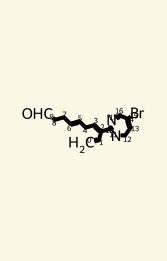 C=C/C(=C\C/C=C/CCC=O)C1=NCC=C(Br)C=N1